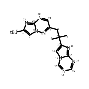 CC(C)(C)c1cn2nc(CC(C)(C)c3cn4cncnc4n3)cnc2n1